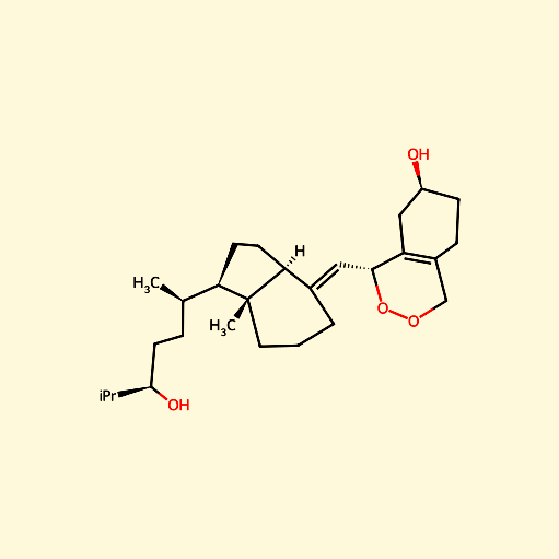 CC(C)[C@H](O)CC[C@@H](C)[C@H]1CC[C@H]2C(=C[C@H]3OOCC4=C3C[C@@H](O)CC4)CCC[C@]12C